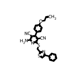 C=CCOc1ccc(-c2c(C#N)c(N)nc(SCc3nc(-c4ccccc4)cs3)c2C#N)cc1